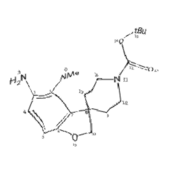 CNc1c(N)ccc2c1C1(CCN(C(=O)OC(C)(C)C)CC1)CO2